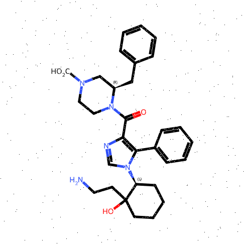 NCCC1(O)CCCC[C@@H]1n1cnc(C(=O)N2CCN(C(=O)O)C[C@H]2Cc2ccccc2)c1-c1ccccc1